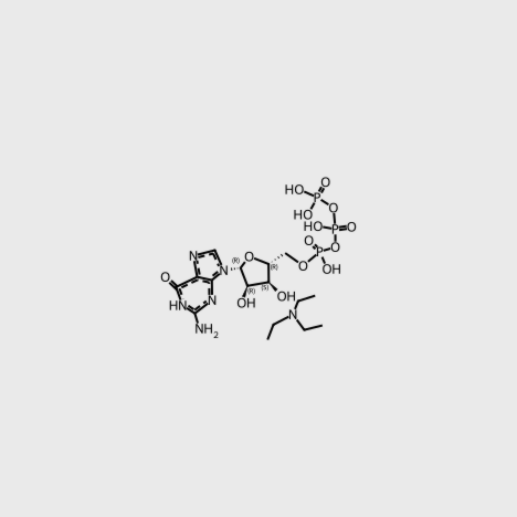 CCN(CC)CC.Nc1nc2c(ncn2[C@@H]2O[C@H](COP(=O)(O)OP(=O)(O)OP(=O)(O)O)[C@@H](O)[C@H]2O)c(=O)[nH]1